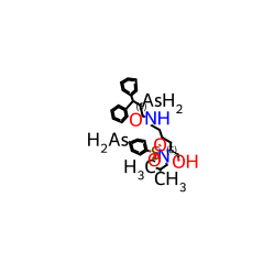 CC(C)CN([C@H](CO)CCCCNC(=O)[C@@H]([AsH2])C(c1ccccc1)c1ccccc1)S(=O)(=O)c1ccc([AsH2])cc1